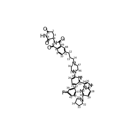 O=C1CCC(N2C(=O)c3ccc(CCCN4CCN(c5cccc(-c6cnc7ccc(N8CCC[C@@H]8c8cccc(F)c8)nn67)n5)CC4)cc3C2=O)C(=O)N1